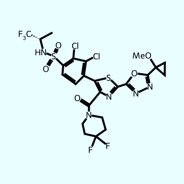 COC1(c2nnc(-c3nc(C(=O)N4CCC(F)(F)CC4)c(-c4ccc(S(=O)(=O)N[C@@H](C)C(F)(F)F)c(Cl)c4Cl)s3)o2)CC1